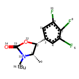 C[C@H]1[C@@H](c2cc(F)c(F)c(F)c2)OC(=O)N1C(C)(C)C